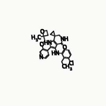 CCc1c(Cl)cccc1Nc1c(-c2ccncc2OCC2(C)CCO2)[nH]c2c1C(=O)NCC21CC1